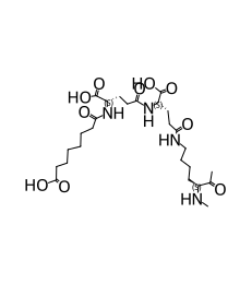 CN[C@@H](CCCCNC(=O)CC[C@H](NC(=O)CC[C@H](NC(=O)CCCCCCC(=O)O)C(=O)O)C(=O)O)C(C)=O